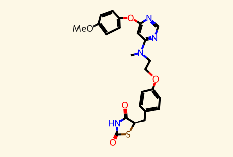 COc1ccc(Oc2cc(N(C)CCOc3ccc(C[C@H]4SC(=O)NC4=O)cc3)ncn2)cc1